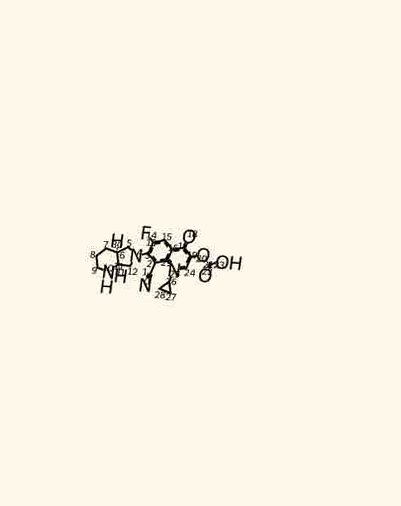 N#Cc1c(N2C[C@@H]3CCCN[C@@H]3C2)c(F)cc2c(=O)c(OC(=O)O)cn(C3CC3)c12